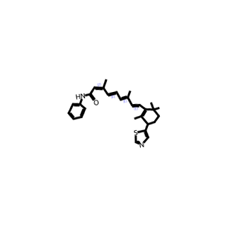 CC1=C(/C=C/C(C)=C/C=C/C(C)=C\C(=O)Nc2ccccc2)C(C)(C)CCC1c1cncs1